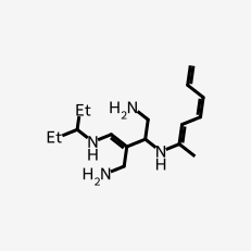 C=C/C=C\C=C(/C)NC(CN)/C(=C/NC(CC)CC)CN